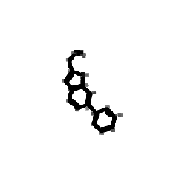 NCc1cc2ccc(-c3cccnc3)cc2s1